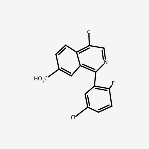 O=C(O)c1ccc2c(Cl)cnc(-c3cc(Cl)ccc3F)c2c1